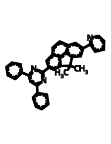 CC1(C)c2cc(-c3ccccn3)cc3ccc4cc(-c5nc(-c6ccccc6)cc(-c6ccccc6)n5)cc1c4c23